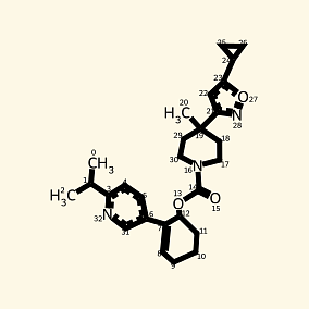 CC(C)c1ccc(C2=CCCCC2OC(=O)N2CCC(C)(c3cc(C4CC4)on3)CC2)cn1